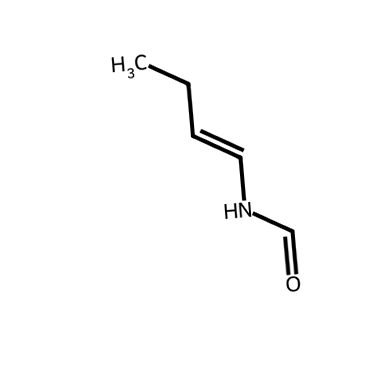 CCC=CNC=O